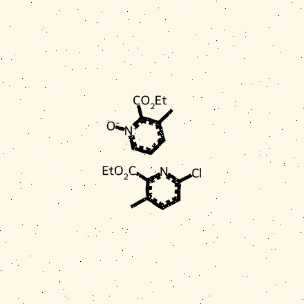 CCOC(=O)c1c(C)ccc[n+]1[O-].CCOC(=O)c1nc(Cl)ccc1C